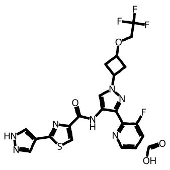 O=C(Nc1cn(C2CC(OCC(F)(F)F)C2)nc1-c1ncccc1F)c1csc(-c2cn[nH]c2)n1.O=CO